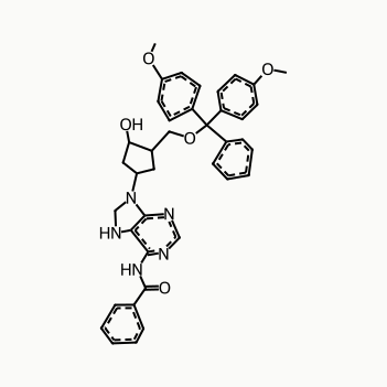 COc1ccc(C(OCC2CC(N3CNc4c(NC(=O)c5ccccc5)ncnc43)CC2O)(c2ccccc2)c2ccc(OC)cc2)cc1